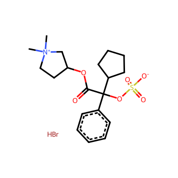 Br.C[N+]1(C)CCC(OC(=O)C(OS(=O)(=O)[O-])(c2ccccc2)C2CCCC2)C1